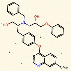 COc1ccc2c(Oc3ccc(C[C@@H](CO)N(Cc4ccccc4)C[C@H](O)COc4ccccc4)cc3)ccnc2c1